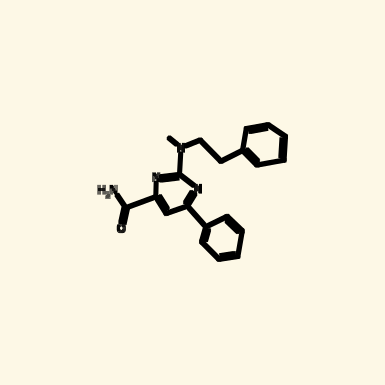 CN(CCc1ccccc1)c1nc(C(N)=O)cc(-c2ccccc2)n1